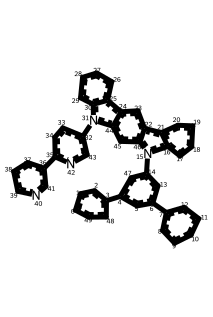 c1ccc(-c2cc(-c3ccccc3)cc(-n3c4ccccc4c4cc5c6ccccc6n(-c6ccc(-c7cccnc7)nc6)c5cc43)c2)cc1